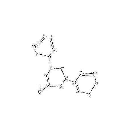 ClC1=CC([C@H]2C=CC=NC2)CC(C2=CCCN=C2)C1